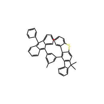 Cc1cc(-c2c3ccccc3c(-c3ccccc3)c3ccccc23)cc(-c2c3c(cc4sc5ccccc5c24)C(C)(C)c2ccccc2-3)c1